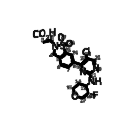 C[C@H](C(=O)O)N1Cc2ccc(-c3nc(N[C@@H]4CCOC[C@H]4F)ncc3Cl)cc2S1(=O)=O